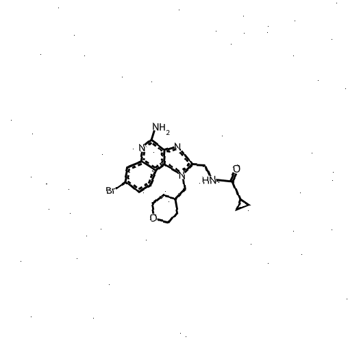 Nc1nc2cc(Br)ccc2c2c1nc(CNC(=O)C1CC1)n2CC1CCOCC1